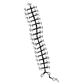 [2H]C([2H])([2H])C([2H])([2H])C([2H])([2H])C([2H])([2H])C([2H])([2H])C([2H])([2H])C([2H])([2H])C([2H])([2H])C([2H])([2H])C([2H])([2H])C([2H])([2H])C([2H])([2H])C([2H])([2H])C([2H])([2H])C([2H])([2H])C(=O)OCC